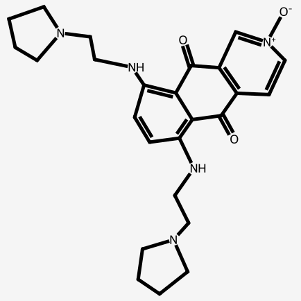 O=C1c2cc[n+]([O-])cc2C(=O)c2c(NCCN3CCCC3)ccc(NCCN3CCCC3)c21